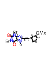 CCn1c(=O)c2c(nc(C#Cc3cccc(OC)c3)n2C)n(CC)c1=O